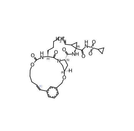 C=CC1C[C@]1(NC(=O)[C@@H]1C[C@@H]2CN1C(=O)[C@H](CCCC)NC(=O)OCCC/C=C/c1cccc(c1)CO2)C(=O)NS(=O)(=O)C1CC1